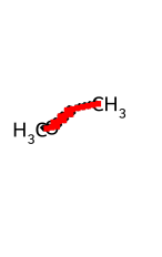 CCCCCCCCCC[C@H]1CC[C@H](C2C=CC(c3ccc(OCCCC)cc3)=CC2)CC1